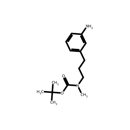 CN(CCCc1cccc(N)c1)C(=O)OC(C)(C)C